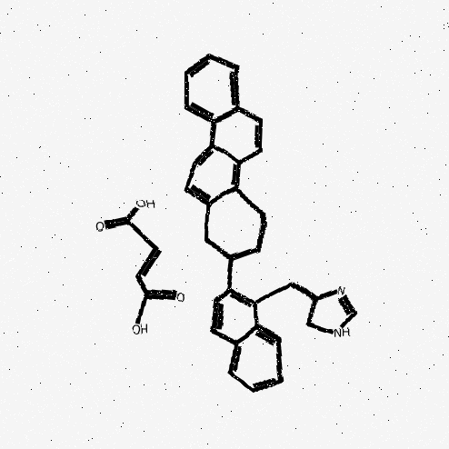 C1=NC(Cc2c(C3CCc4c(ccc5c4ccc4ccccc45)C3)ccc3ccccc23)CN1.O=C(O)/C=C/C(=O)O